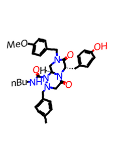 CCCCNC(=O)N1[C@H]2CN(Cc3ccc(OC)cc3)C(=O)[C@H](Cc3ccc(O)cc3)N2C(=O)CN1Cc1ccc(C)cc1